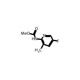 COC(=O)Nc1ncc(F)cc1C